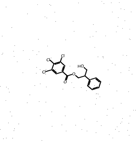 O=C(OCC(CO)c1ccccc1)c1cc(Cl)c(Cl)c(Cl)c1